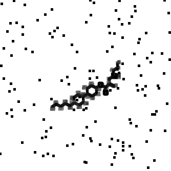 C=C(CNCCC)C(=O)OC1CCC(C2CCC(CCCCC)CC2)CC1